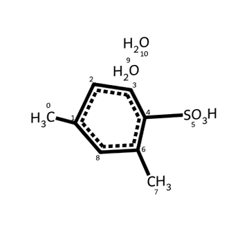 Cc1ccc(S(=O)(=O)O)c(C)c1.O.O